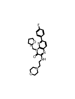 O=c1c(NCCN2CCOCC2)nc2ccc(-c3ccc(F)cc3)nc2n1C[C@H]1CCCO1